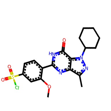 COc1cc(S(=O)(=O)Cl)ccc1-c1nc2c(C)nn(C3CCCCC3)c2c(=O)[nH]1